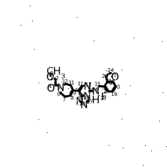 COCC(=O)N1CCC=C(c2cnc(NCc3c(F)ccc4c3CCO4)n3cnnc23)CC1